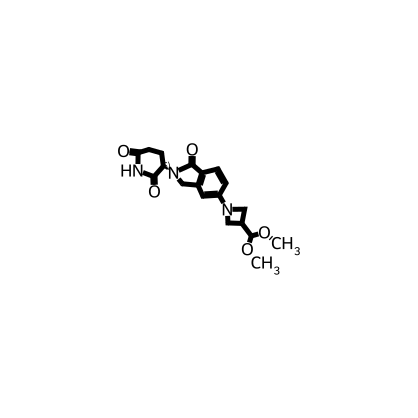 COC(OC)C1CN(c2ccc3c(c2)CN([C@H]2CCC(=O)NC2=O)C3=O)C1